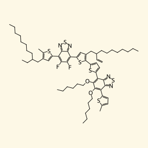 C=CC(CCCCCCCC)Cc1cc(-c2c(F)c(F)c(-c3cc(CC(CC)CCCCCCCC)c(C)s3)c3nsnc23)sc1-c1ccc(-c2c(OCCCCCC)c(OCCCCCC)c(-c3ccc(C)s3)c3nsnc23)s1